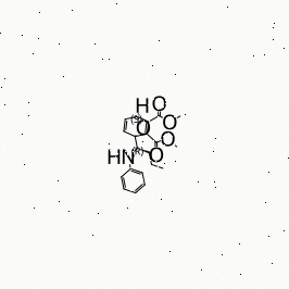 CCC[C@@H](Nc1ccccc1)C12C=C[C@H](O1)C(C(=O)OC)=C2C(=O)OC